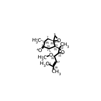 CO[C@@H]1C(=O)[C@H](C)C[C@]2(CO2)[C@H]1C1(C)OC1CC=C(C)C